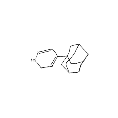 [C]1=CC(C23CC4CC(CC(C4)C2)C3)=CCN1